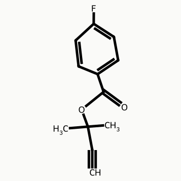 C#CC(C)(C)OC(=O)c1ccc(F)cc1